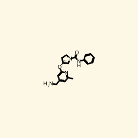 Cc1cc(CN)cc(O[C@H]2CCN(C(=O)Nc3ccccc3)C2)n1